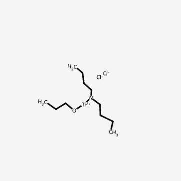 CCCC[N](CCCC)[Ti+2][O]CCC.[Cl-].[Cl-]